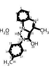 CC1=Nc2ccccc2N2[N]N(c3ccc(C)cc3)C(O)=C12.O